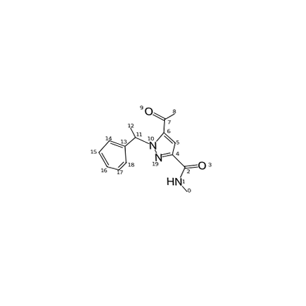 CNC(=O)c1cc(C(C)=O)n(C(C)c2ccccc2)n1